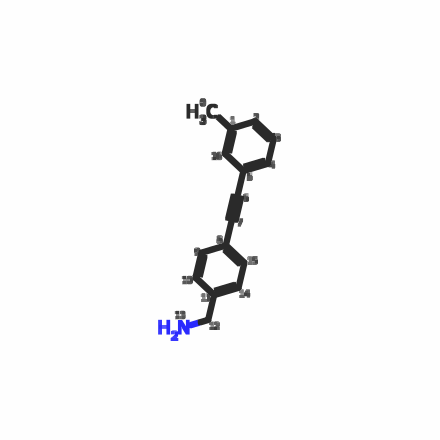 Cc1c[c]cc(C#Cc2ccc(CN)cc2)c1